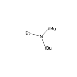 CCCCN(CC)C(C)(C)C